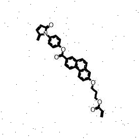 C=CC(=O)OCCCOc1ccc2c(ccc3cc(C(=O)Oc4ccc(N5C(=C)C=CC5=O)cc4)ccc32)c1